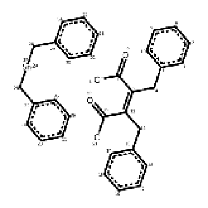 O=C([O-])/C(Cc1ccccc1)=C(/Cc1ccccc1)C(=O)[O-].c1ccc([CH2][Sn+2][CH2]c2ccccc2)cc1